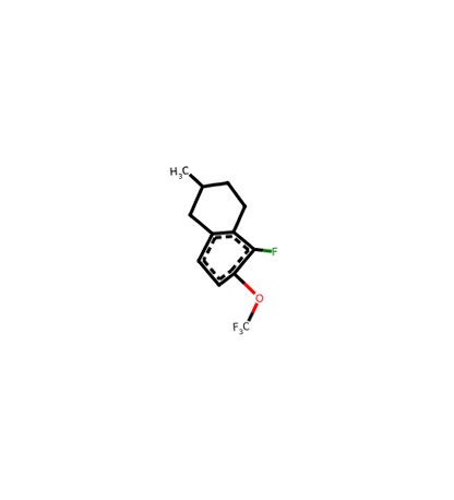 CC1CCc2c(ccc(OC(F)(F)F)c2F)C1